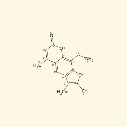 Cc1oc2c(CN)c3oc(=O)cc(C)c3cc2c1C